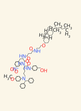 COc1ccc(N(CCCCC(NC(=O)C(Cc2ccc([N+](=O)[O-])cc2)NC(=O)CCC(=O)NCCCO[C@H]2CC[C@@]3(C)C(=CC[C@H]4[C@@H]5CC[C@H](C(C)CCCC(C)C)[C@@]5(C)CC[C@@H]43)C2)C(=O)Nc2ccc(CO)cc2)C(c2ccccc2)c2ccccc2)cc1